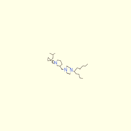 CCCCCC(CCCC)N1CCN(CC2CCCN(CC3(CC(C)C)CC3)C2)CC1